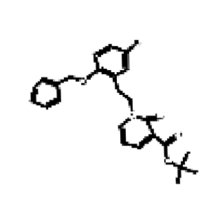 CC(C)(C)OC(=O)c1cccn(CCc2cc(Br)ccc2OCc2ccccc2)c1=O